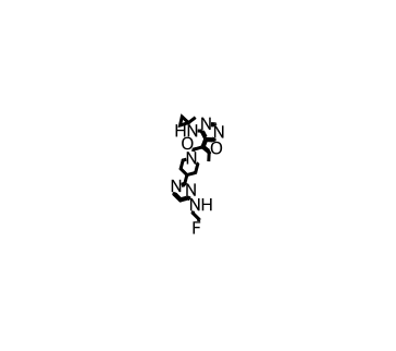 Cc1oc2ncnc(NC3(C)CC3)c2c1C(=O)N1CCC(c2nccc(NCCF)n2)CC1